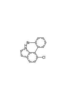 Clc1ccc2cc[nH]c2c1-c1ccccc1Br